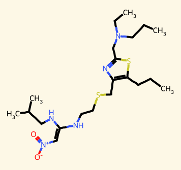 CCCc1sc(CN(CC)CCC)nc1CSCCNC(=C[N+](=O)[O-])NCC(C)C